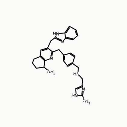 Cc1nc(CNCc2ccc(Cc3nc4c(cc3Cc3nc5ccccc5[nH]3)CCCC4N)cc2)c[nH]1